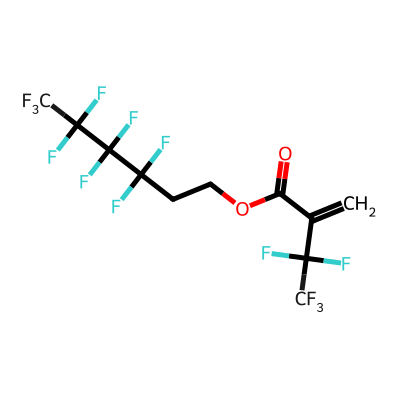 C=C(C(=O)OCCC(F)(F)C(F)(F)C(F)(F)C(F)(F)F)C(F)(F)C(F)(F)F